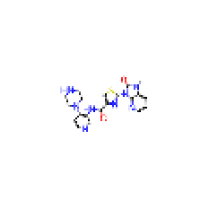 Cn1c(=O)n(-c2nc(C(=O)Nc3cnccc3N3CCNCC3)cs2)c2ncccc21